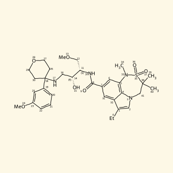 CCc1cn2c3c(cc(C(=O)N[C@@H](COC)[C@H](O)CNC4(c5cccc(OC)c5)CCOCC4)cc13)N(C)S(=O)(=O)C(C)(C)C2